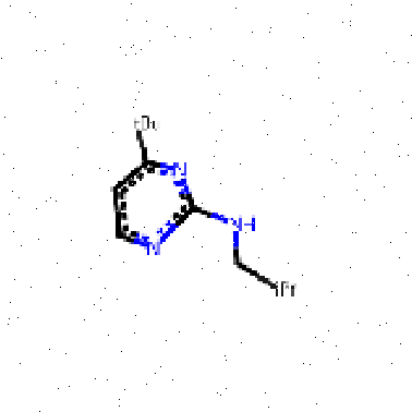 CC(C)CNc1nccc(C(C)(C)C)n1